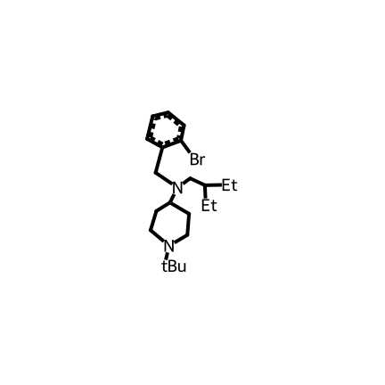 CCC(CC)CN(Cc1ccccc1Br)C1CCN(C(C)(C)C)CC1